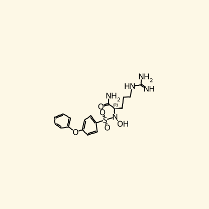 N=C(N)NCCC[C@H](C(N)=O)N(O)S(=O)(=O)c1ccc(Oc2ccccc2)cc1